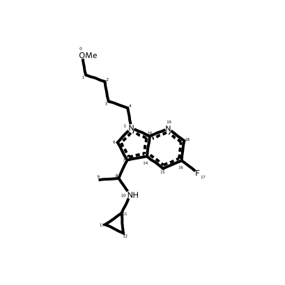 COCCCCn1cc(C(C)NC2CC2)c2cc(F)cnc21